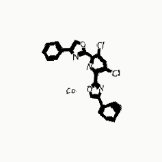 Clc1cc(Cl)c(-c2nc(-c3ccccc3)co2)nc1-c1nc(-c2ccccc2)co1.[Co]